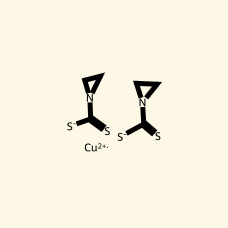 S=C([S-])N1CC1.S=C([S-])N1CC1.[Cu+2]